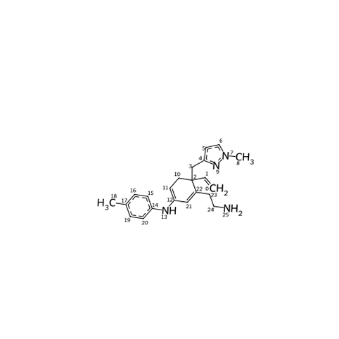 C=CC1(Cc2ccn(C)n2)CC=C(Nc2ccc(C)cc2)C=C1CCN